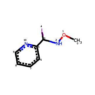 CONC(I)c1ccccn1